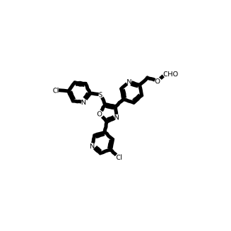 O=COCc1ccc(-c2nc(-c3cncc(Cl)c3)oc2Sc2ccc(Cl)cn2)cn1